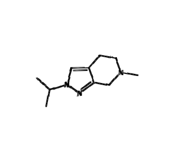 CC(C)n1cc2c(n1)CN(C)CC2